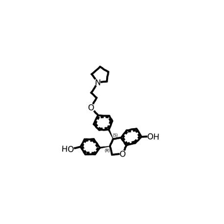 Oc1ccc([C@@H]2COc3cc(O)ccc3[C@@H]2c2ccc(OCCN3CCCC3)cc2)cc1